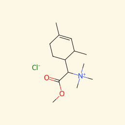 COC(=O)C(C1CCC(C)=CC1C)[N+](C)(C)C.[Cl-]